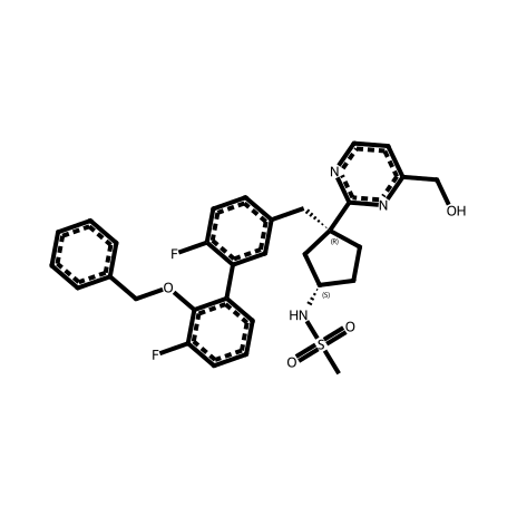 CS(=O)(=O)N[C@H]1CC[C@](Cc2ccc(F)c(-c3cccc(F)c3OCc3ccccc3)c2)(c2nccc(CO)n2)C1